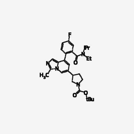 CCN(C(=O)c1cc(F)ccc1-c1cc(C2CCN(C(=O)OC(C)(C)C)C2)cn2c(C)ncc12)C(C)C